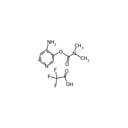 CN(C)C(=O)Oc1cnccc1N.O=C(O)C(F)(F)F